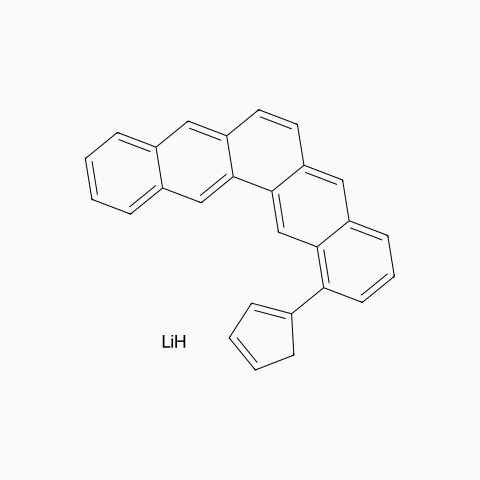 C1=CCC(c2cccc3cc4ccc5cc6ccccc6cc5c4cc23)=C1.[LiH]